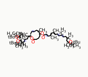 CC(=C/C=C/C(C)=C/C[C@@H](C)C[C@H](C)O[Si](C)(C)C(C)(C)C)C=C(C)/C=C/C(=O)O[C@H]1CCCC(=O)O[C@@H]([C@@H](C)C/C(C)=C/[C@@H](C)[C@@H](C[C@@H](C)O[Si](C)(C)C(C)(C)C)O[Si](C)(C)C(C)(C)C)C/C=C/C[C@@H]1C